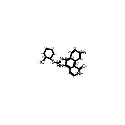 O=c1[nH]ccc2c3[nH]c(SC4CCCCC4O)nc3c3ccc(F)cc3c12